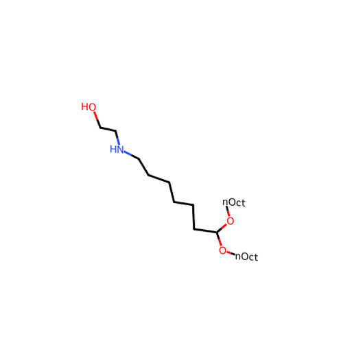 CCCCCCCCOC(CCCCCCNCCO)OCCCCCCCC